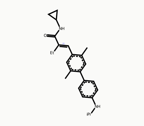 CC/C(=C\c1cc(C)c(-c2ccc(NC(C)C)cc2)cc1C)C(=O)NC1CC1